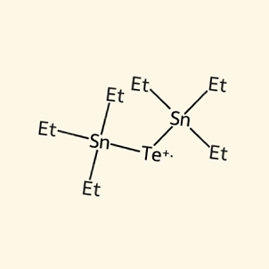 C[CH2][Sn]([CH2]C)([CH2]C)[Te+][Sn]([CH2]C)([CH2]C)[CH2]C